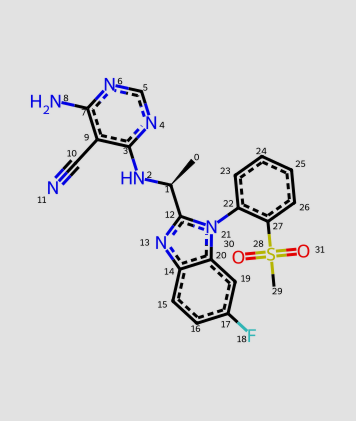 C[C@H](Nc1ncnc(N)c1C#N)c1nc2ccc(F)cc2n1-c1ccccc1S(C)(=O)=O